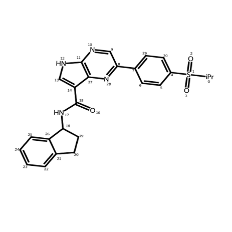 CC(C)S(=O)(=O)c1ccc(-c2cnc3[nH]cc(C(=O)NC4CCc5ccccc54)c3n2)cc1